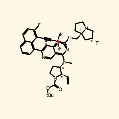 C=C[C@@H]1[C@H](N(C)c2nc(OC[C@@]34CCCN3C[C@H](F)C4)nc3c(F)c(-c4cccc5ccc(F)c(C#C[Si](C(C)C)(C(C)C)C(C)C)c45)ncc23)CCN1C(=O)OC(C)(C)C